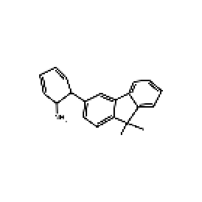 CC1(C)c2ccccc2-c2cc(C3C=CC=CC3N)ccc21